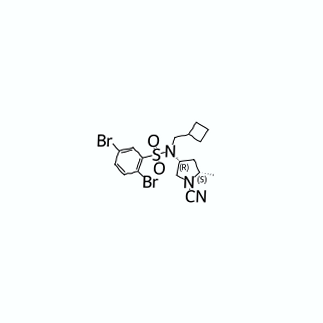 C[C@H]1C[C@@H](N(CC2CCC2)S(=O)(=O)c2cc(Br)ccc2Br)CN1C#N